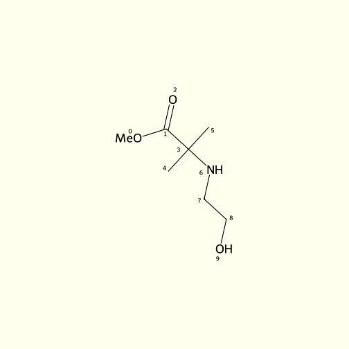 COC(=O)C(C)(C)NCCO